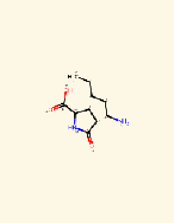 CCCCCN.O=C1CCC(C(=O)O)N1